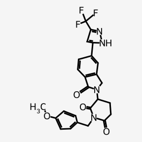 COc1ccc(CN2C(=O)CCC(N3Cc4cc(-c5cc(C(F)(F)F)n[nH]5)ccc4C3=O)C2=O)cc1